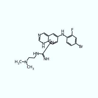 CN(C)CCNC(=N)C1=NC2=CC(Nc3ccc(Br)cc3F)=CC3=CN=CNC32S1